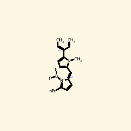 C=C/C(=C\C)c1ccc(/C=C2/C=CC(CCC)=[N+]2B(F)F)n1C